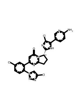 Nc1ccc(-c2[nH]c([C@@H]3CCc4nc(-c5cc(Cl)ccc5-n5cc(Cl)nn5)cc(=O)n43)nc2Cl)cn1